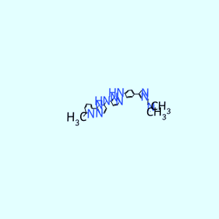 Cc1cccc(-c2nccc(Nc3ccnc(Nc4ccc(-c5cnn(CCN(C)C)c5)cc4)n3)n2)n1